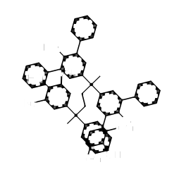 CC(C)(C)c1cc(C(C)(CCC(C)(c2cc(-c3ccccc3)c(O)c(-c3ccccc3)c2)c2cc(-c3ccccc3)c(O)c(-c3ccccc3)c2)c2cc(C(C)(C)C)c(O)c(C(C)(C)C)c2)cc(C(C)(C)C)c1O